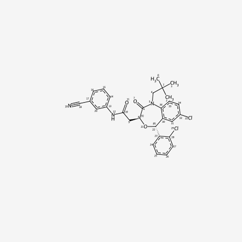 CC(C)(C)CN1C(=O)[C@H](CC(=O)Nc2cccc(C#N)c2)O[C@@H](c2ccccc2Cl)c2cc(Cl)ccc21